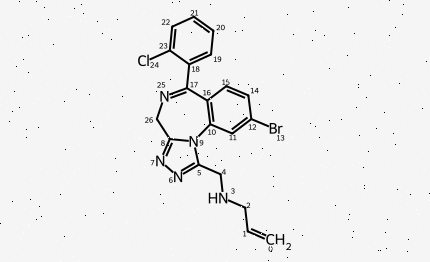 C=CCNCc1nnc2n1-c1cc(Br)ccc1C(c1ccccc1Cl)=NC2